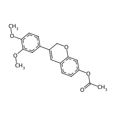 COc1ccc(C2=Cc3ccc(OC(C)=O)cc3OC2)cc1OC